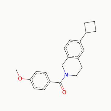 COc1ccc(C(=O)N2CCc3cc(C4CCC4)ccc3C2)cc1